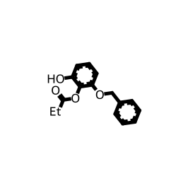 CCC(=O)Oc1c(O)cccc1OCc1ccccc1